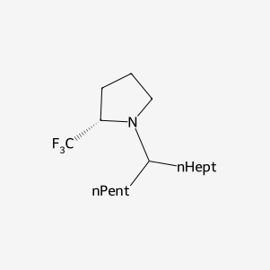 CCCCCCCC(CCCCC)N1CCC[C@H]1C(F)(F)F